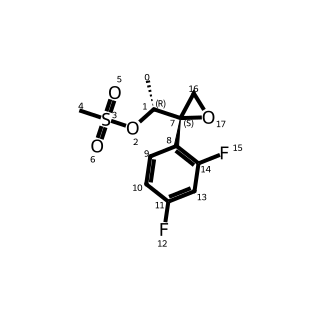 C[C@@H](OS(C)(=O)=O)[C@]1(c2ccc(F)cc2F)CO1